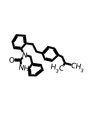 CC(C)Cc1ccc(CCc2ccccc2N(Cc2ccccc2)C(N)=O)cc1